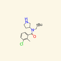 Cc1c(Cl)cccc1C(=O)N(CC(C)(C)C)C1CCNC1